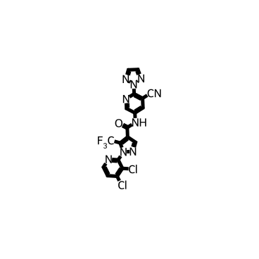 N#Cc1cc(NC(=O)c2cnn(-c3nccc(Cl)c3Cl)c2C(F)(F)F)cnc1-n1nccn1